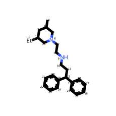 CCC1CC(C)CN(CCNCCC(c2ccccc2)c2ccccc2)C1